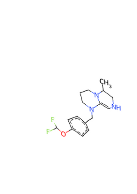 CC1CNC=C2N(Cc3ccc(OC(F)F)cc3)CCCN21